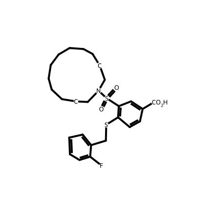 O=C(O)c1ccc(SCc2ccccc2F)c(S(=O)(=O)N2CCCCCCCCCCCC2)c1